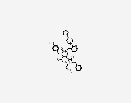 C=CCN1CC(=O)C2C(Cc3ccc(O)cc3)C(=O)N(Cc3cccnc3N3CCC(N4CCCC4)CC3)CC2N1C(=O)NCc1ccccc1